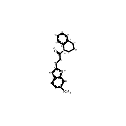 Cc1ccc2nc(SCC(=O)N3CCCc4ccccc43)sc2c1